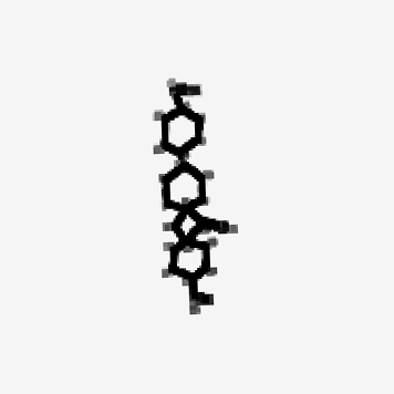 CCCCCCC1CCC([C@H]2CC[C@]3(CC2)C[C@@]2(CCC(CCCC)CC2)C3=O)CC1